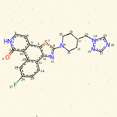 O=c1[nH]ccc2c3sc(N4CCC(Cn5cncn5)CC4)nc3c3ccc(F)cc3c12